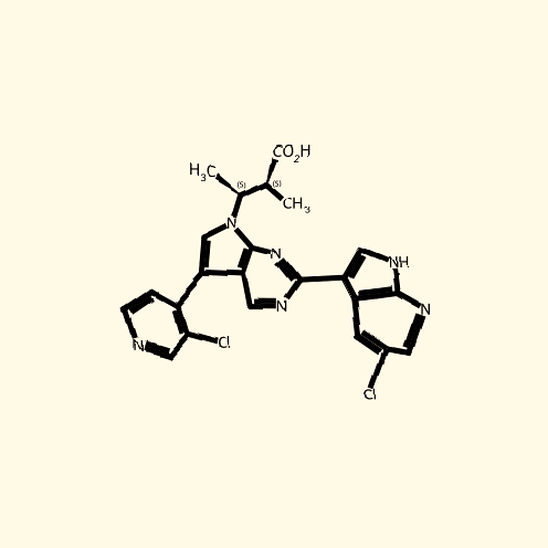 C[C@H](C(=O)O)[C@H](C)n1cc(-c2ccncc2Cl)c2cnc(-c3c[nH]c4ncc(Cl)cc34)nc21